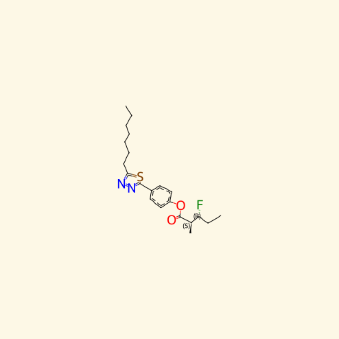 CCCCCCCc1nnc(-c2ccc(OC(=O)[C@H](C)[C@H](F)CC)cc2)s1